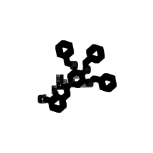 CC(Cc1cccc(Cl)c1F)N1C[C@H](OCc2ccccc2)C(OCc2ccccc2)[C@H](OCc2ccccc2)C1